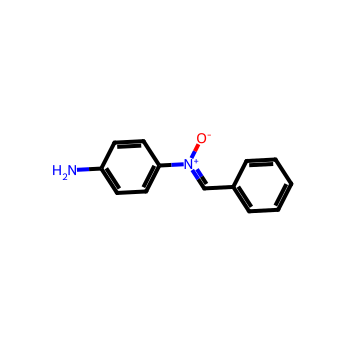 Nc1ccc([N+]([O-])=Cc2ccccc2)cc1